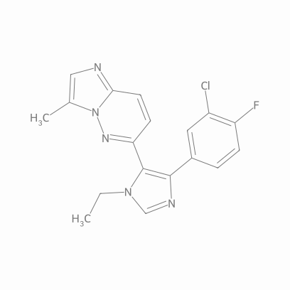 CCn1cnc(-c2ccc(F)c(Cl)c2)c1-c1ccc2ncc(C)n2n1